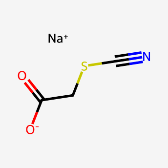 N#CSCC(=O)[O-].[Na+]